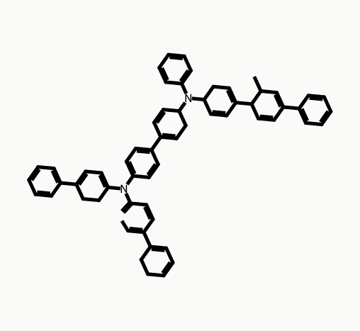 C=C(/C=C\C(=C/C)C1=CC=CCC1)N(C1=CC=C(c2ccccc2)CC1)c1ccc(C2=CCC(N(c3ccccc3)C3C=CC(C4C=CC(c5ccccc5)=CC4C)=CC3)C=C2)cc1